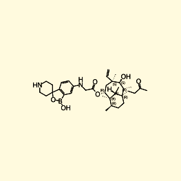 C=C[C@]1(C)C[C@@H](OC(=O)CNc2ccc3c(c2)B(O)OC32CCNCC2)[C@]2(C)[C@H](C)CC[C@@](CCC(C)=O)([C@H]2C)[C@@H](C)[C@@H]1O